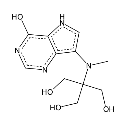 CN(c1c[nH]c2c(O)ncnc12)C(CO)(CO)CO